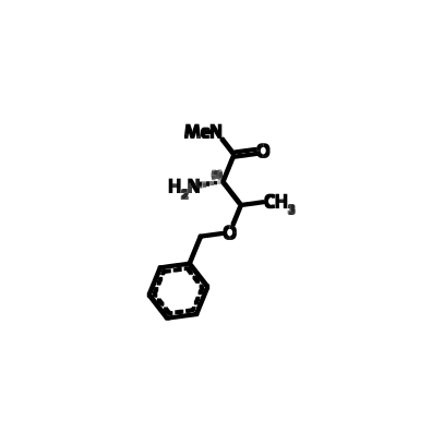 CNC(=O)[C@@H](N)C(C)OCc1ccccc1